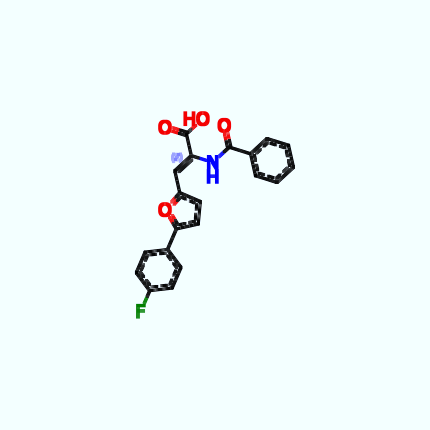 O=C(O)/C(=C/c1ccc(-c2ccc(F)cc2)o1)NC(=O)c1ccccc1